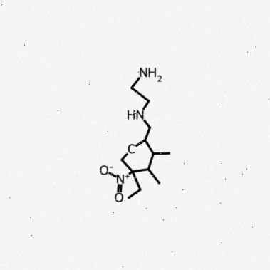 CCC1([N+](=O)[O-])CCC(CNCCN)C(C)C1C